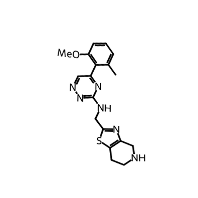 COc1cccc(C)c1-c1cnnc(NCc2nc3c(s2)CCNC3)n1